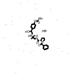 Br.CC(C)(CNC(=O)[C@@H]1CCCN1C(=O)c1ccccc1)NCC(O)c1ccc(OC(=O)C(C)(C)C)cc1